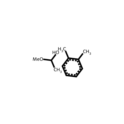 COC(C)O.Cc1ccccc1C